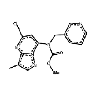 Cc1cnn2c(N(Cc3cccnc3)C(=O)OC(C)(C)C)cc(Cl)nc12